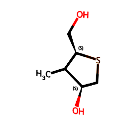 CC1[C@H](O)CS[C@@H]1CO